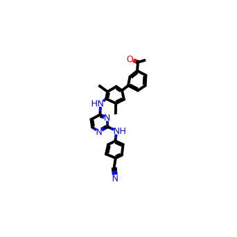 CC(=O)c1cccc(-c2cc(C)c(Nc3ccnc(Nc4ccc(C#N)cc4)n3)c(C)c2)c1